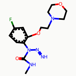 CNC(=O)N(N=N)c1ccc(F)cc1OCCN1CCOCC1